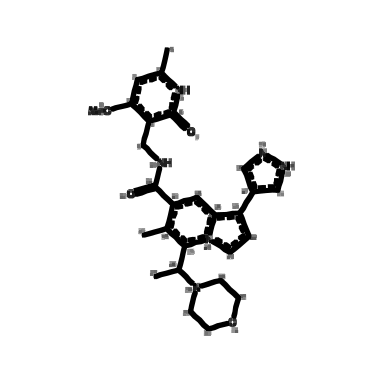 COc1cc(C)[nH]c(=O)c1CNC(=O)c1cc2c(-c3cn[nH]c3)ccn2c(C(C)N2CCOCC2)c1C